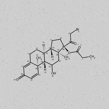 CCC(=O)O[C@]1(C(=O)CBr)CC[C@H]2[C@@H]3CCC4=CC(=O)C=C[C@]4(C)[C@H]3C(O)C[C@@]21C